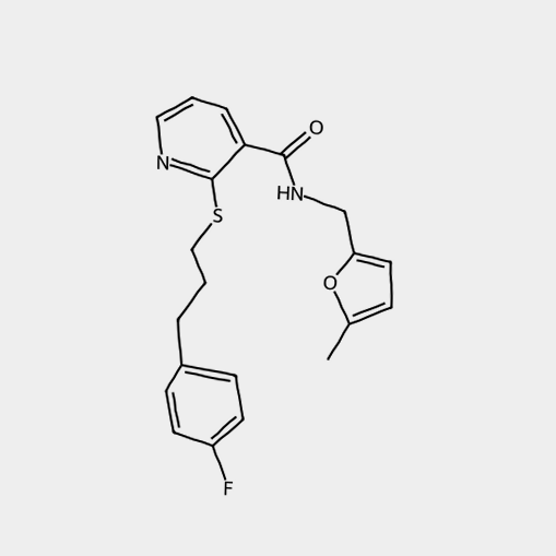 Cc1ccc(CNC(=O)c2cccnc2SCCCc2ccc(F)cc2)o1